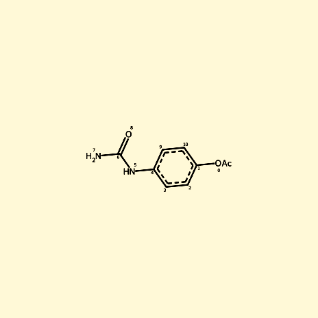 CC(=O)Oc1ccc(NC(N)=O)cc1